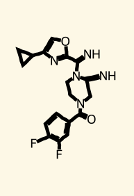 N=C1CN(C(=O)c2ccc(F)c(F)c2)CCN1C(=N)c1nc(C2CC2)co1